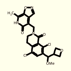 COC(c1cc(Cl)c2c(c1Cl)C(=O)N(Cc1c(=O)[nH]c(C)c3oncc13)CC2)C1COC1